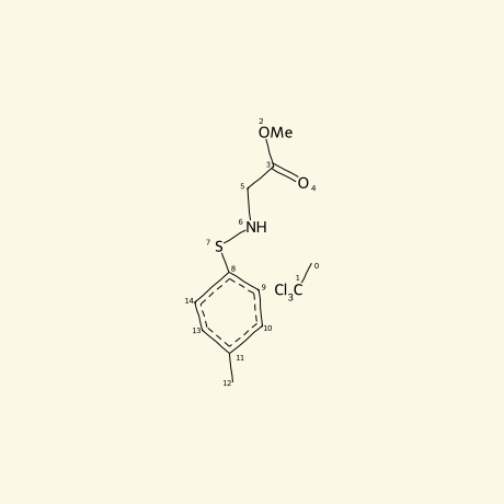 CC(Cl)(Cl)Cl.COC(=O)CNSc1ccc(C)cc1